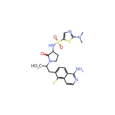 CN(C)c1ncc(S(=O)(=O)NC2CCN(C(Cc3ccc4c(N)nccc4c3F)C(=O)O)C2=O)s1